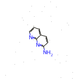 Nc1ccc2c[c]cnc2n1